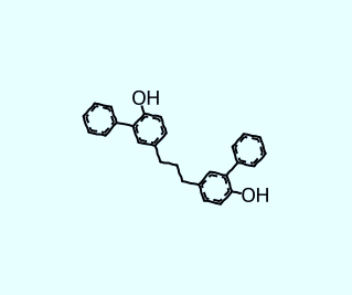 Oc1ccc(CCCc2ccc(O)c(-c3ccccc3)c2)cc1-c1ccccc1